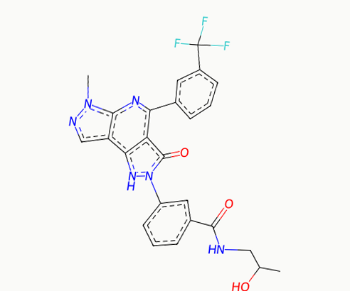 CC(O)CNC(=O)c1cccc(-n2[nH]c3c(c(-c4cccc(C(F)(F)F)c4)nc4c3cnn4C)c2=O)c1